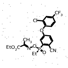 CCOC(=O)C(C)=NOP(=O)(CC)c1cc(Oc2ccc(C(F)(F)F)cc2Cl)ccc1C#N